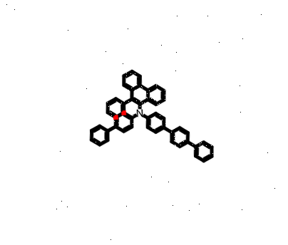 c1ccc(-c2ccc(-c3ccc(N(c4ccc(-c5ccccc5)cc4)c4c(-c5ccccc5)c5ccccc5c5ccccc45)cc3)cc2)cc1